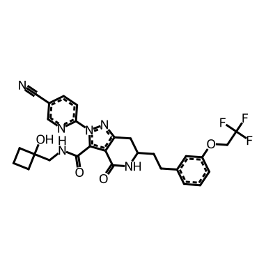 N#Cc1ccc(-n2nc3c(c2C(=O)NCC2(O)CCC2)C(=O)NC(CCc2cccc(OCC(F)(F)F)c2)C3)nc1